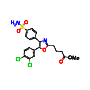 COC(=O)CCCc1nc(-c2ccc(S(N)(=O)=O)cc2)c(-c2ccc(Cl)c(Cl)c2)o1